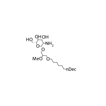 CCCCCCCCCCCCCCCCOC[C@H](CO[C@@H]1O[C@H](CO)[C@@H](O)[C@H](O)[C@H]1N)OC